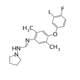 Cc1cc(Oc2ccc(F)c(I)c2)c(C)cc1/N=C/NN1CCCC1